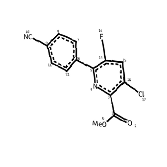 COC(=O)c1nc(-c2ccc(C#N)cc2)c(F)cc1Cl